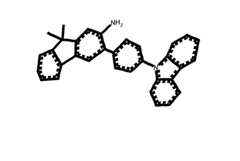 CC1(C)c2ccccc2-c2cc(-c3ccc(-n4c5ccccc5c5ccccc54)cc3)c(N)cc21